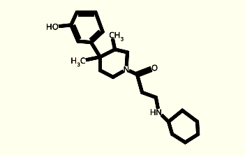 CC1CN(C(=O)CCNC2CCCCC2)CCC1(C)c1cccc(O)c1